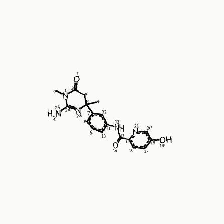 CN1C(=O)CC(C)(c2cccc(NC(=O)c3ccc(O)cn3)c2)N=C1N